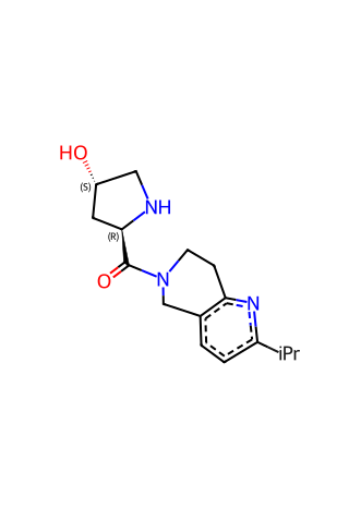 CC(C)c1ccc2c(n1)CCN(C(=O)[C@H]1C[C@H](O)CN1)C2